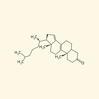 CC(C)CCC[C@@H](C)[C@H]1CC=C2C3=C(CC[C@@]21C)[C@@]1(C)CCC(=O)CC1CC3